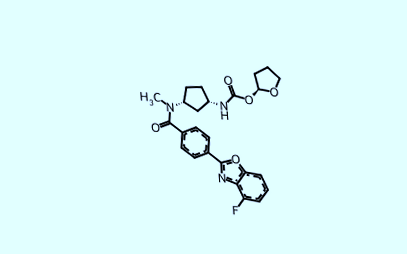 CN(C(=O)c1ccc(-c2nc3c(F)cccc3o2)cc1)[C@@H]1CC[C@H](NC(=O)O[C@H]2CCCO2)C1